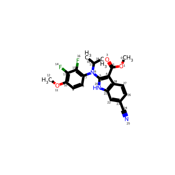 COC(=O)c1c(N(c2ccc(OC)c(F)c2F)C(C)C)[nH]c2cc(C#N)ccc12